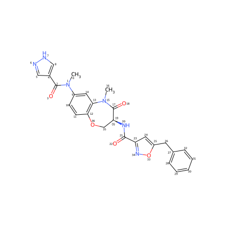 CN(C(=O)c1cn[nH]c1)c1ccc2c(c1)N(C)C(=O)[C@@H](NC(=O)c1cc(Cc3ccccc3)on1)CO2